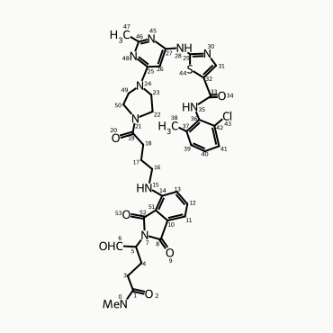 CNC(=O)CCC(C=O)N1C(=O)c2cccc(NCCCC(=O)N3CCN(c4cc(Nc5ncc(C(=O)Nc6c(C)cccc6Cl)s5)nc(C)n4)CC3)c2C1=O